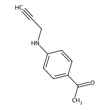 C#CCNc1ccc(C(C)=O)cc1